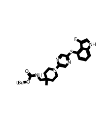 CC1(CNC(=O)OC(C)(C)C)CCN(c2cnc(Sc3cccc4[nH]cc(F)c34)cn2)CC1